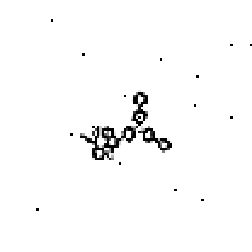 C=C/C=C(\C=N)c1cccc2oc3cc(-c4ccc(N(c5ccc(-c6ccccc6)cc5)c5ccc(-c6ccccc6)cc5)cc4)c4ccccc4c3c12